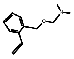 C=Cc1ccccc1COCN(C)C